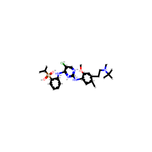 COc1cc(CCN(C)C(C)(C)C)c(C)cc1Nc1ncc(Cl)c(Nc2ccccc2S(=O)(=O)C(C)C)n1